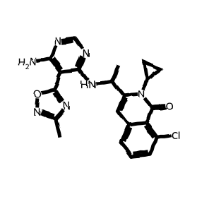 Cc1noc(-c2c(N)ncnc2NC(C)c2cc3cccc(Cl)c3c(=O)n2C2CC2)n1